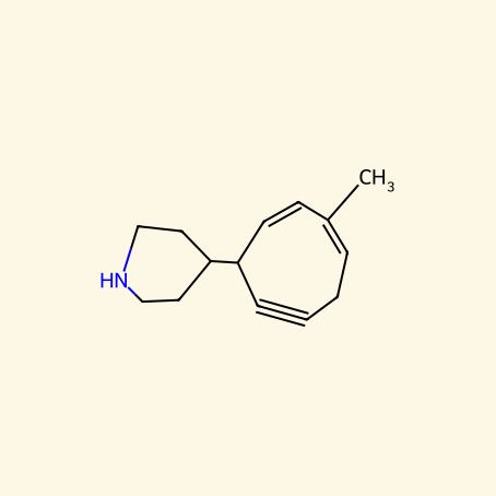 CC1=C/CC#CC(C2CCNCC2)/C=C\1